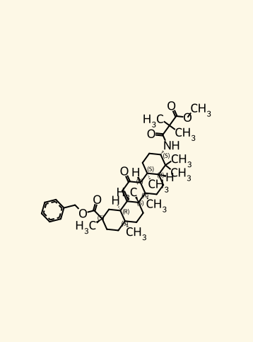 COC(=O)C(C)(C)C(=O)N[C@H]1CC[C@]2(C)[C@H]3C(=O)C=C4[C@@H]5C[C@@](C)(C(=O)OCc6ccccc6)CC[C@]5(C)CC[C@@]4(C)[C@]3(C)CC[C@H]2C1(C)C